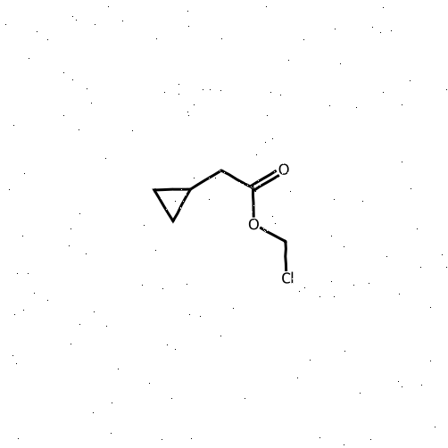 O=C(CC1CC1)OCCl